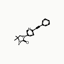 CN1C(=O)N(c2ccc(C#Cc3ccccc3)nc2)CC1(C)C